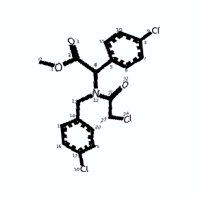 COC(=O)C(c1ccc(Cl)cc1)N(Cc1ccc(Cl)cc1)C(=O)CCl